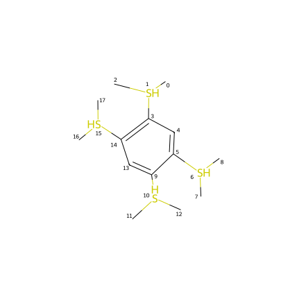 C[SH](C)c1cc([SH](C)C)c([SH](C)C)cc1[SH](C)C